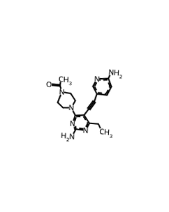 CCc1nc(N)nc(N2CCN(C(C)=O)CC2)c1C#Cc1ccc(N)nc1